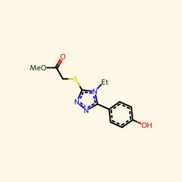 CCn1c(SCC(=O)OC)nnc1-c1ccc(O)cc1